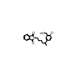 CC(CCCCN1C(=O)c2ccccc2C1=O)c1ccc(Cl)c(CO)c1